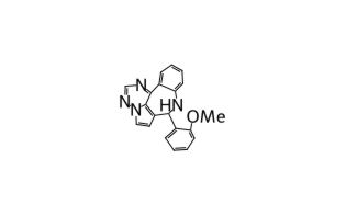 COc1ccccc1C1Nc2ccccc2-c2ncnn3ccc1c23